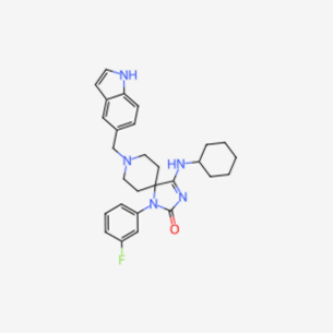 O=C1N=C(NC2CCCCC2)C2(CCN(Cc3ccc4[nH]ccc4c3)CC2)N1c1cccc(F)c1